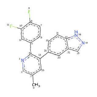 Cc1cnc(-c2ccc(F)c(F)c2)c(-c2ccc3[nH]ncc3c2)c1